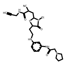 C#CCNC(=O)C(C#N)CC1SC(CCNc2cccc(NC(=O)CN3CCCC3)c2)C(=O)N1CC